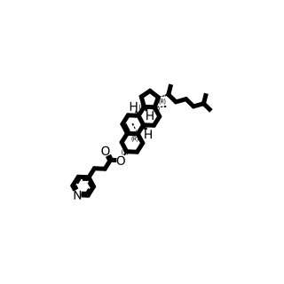 CC(C)CCCC(C)[C@H]1CC[C@H]2[C@@H]3CC=C4C[C@@H](OC(=O)CCc5ccncc5)CC[C@]4(C)[C@H]3CC[C@]12C